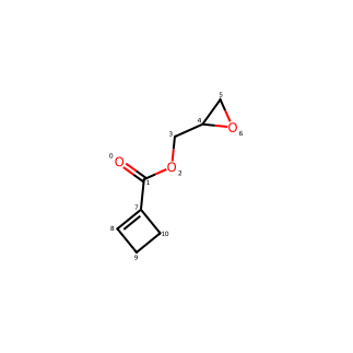 O=C(OCC1CO1)C1=CCC1